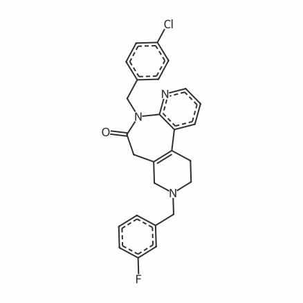 O=C1CC2=C(CCN(Cc3cccc(F)c3)C2)c2cccnc2N1Cc1ccc(Cl)cc1